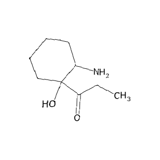 CCC(=O)C1(O)CCCCC1N